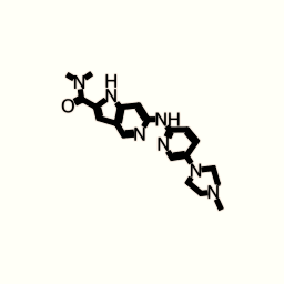 CN1CCN(c2ccc(Nc3cc4[nH]c(C(=O)N(C)C)cc4cn3)nc2)CC1